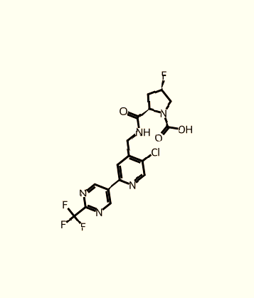 O=C(NCc1cc(-c2cnc(C(F)(F)F)nc2)ncc1Cl)[C@H]1C[C@@H](F)CN1C(=O)O